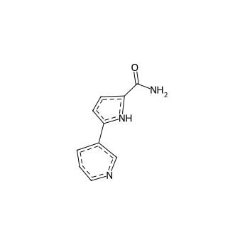 NC(=O)c1ccc(-c2cccnc2)[nH]1